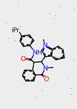 CC(C)c1ccc(NC(=O)C2c3ccccc3C(=O)N(C)C2c2cn(C)c3ccccc23)cc1